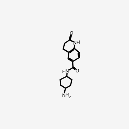 NC1CCC(NC(=O)c2ccc3c(c2)CCC(=O)N3)CC1